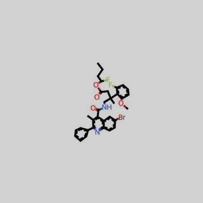 CCCC(F)OC(=O)CC(C)(CNC(=O)c1c(C)c(-c2ccccc2)nc2ccc(Br)cc12)c1c(F)cccc1OC